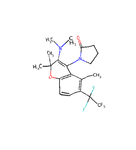 Cc1c(C(F)(F)C(F)(F)F)ccc2c1C(N1CCCC1=O)=C(N(C)C)C(C)(C)O2